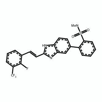 CNS(=O)(=O)c1ccccc1-c1ccc2[nH]c(C=Cc3cccc(C(F)(F)F)c3F)nc2c1